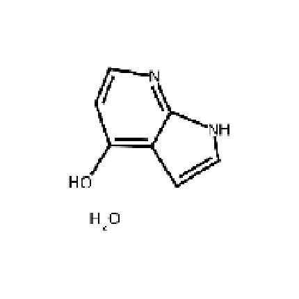 O.Oc1ccnc2[nH]ccc12